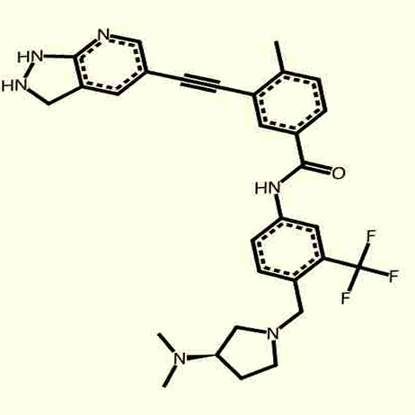 Cc1ccc(C(=O)Nc2ccc(CN3CC[C@@H](N(C)C)C3)c(C(F)(F)F)c2)cc1C#Cc1cnc2c(c1)CNN2